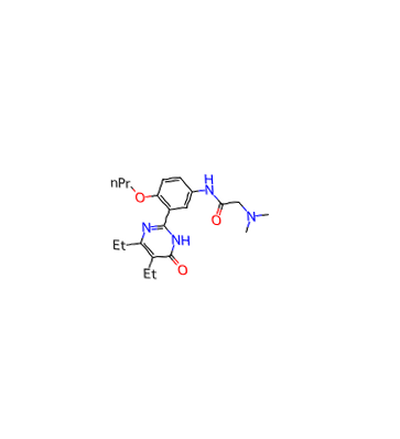 CCCOc1ccc(NC(=O)CN(C)C)cc1-c1nc(CC)c(CC)c(=O)[nH]1